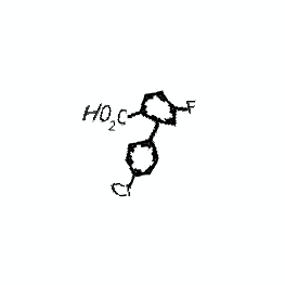 O=C(O)c1ccc(F)cc1-c1ccc(Cl)cc1